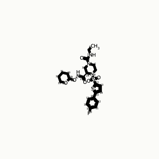 CCNC(=O)N1CCN(S(=O)(=O)c2ccc(-c3ccc(F)cc3)s2)[C@@H](C(=O)NOC2CCCCO2)C1